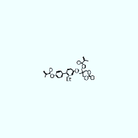 C=C(C)C(=O)OCC1(COc2ccc(-c3ccc(OC(=O)C(=C)C)cc3)c(CC)c2)COC(=O)OC1